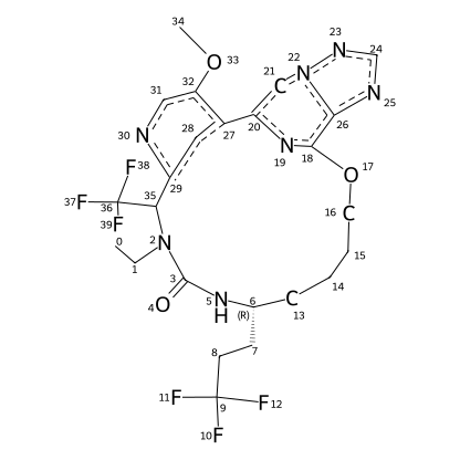 CCN1C(=O)N[C@@H](CCC(F)(F)F)CCCCOc2nc(cn3ncnc23)-c2cc(ncc2OC)C1C(F)(F)F